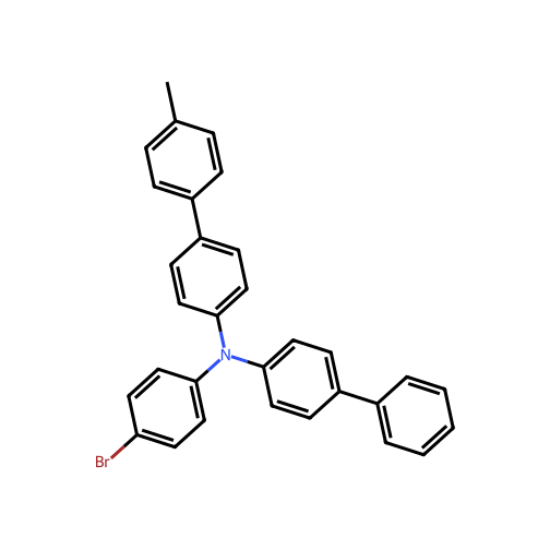 Cc1ccc(-c2ccc(N(c3ccc(Br)cc3)c3ccc(-c4ccccc4)cc3)cc2)cc1